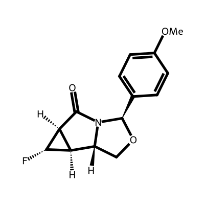 COc1ccc([C@H]2OC[C@@H]3[C@H]4[C@H](F)[C@H]4C(=O)N23)cc1